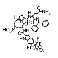 CCOP(=O)(OCC)C(F)(F)c1ccc2[nH]c(C(=O)N[C@H]3CN(C(=O)O)CC[C@H]4CC[C@@H](C(=O)N[C@@H](CCC(N)=O)C(=O)NC(c5ccccc5)c5ccccc5)N4C3=O)cc2c1